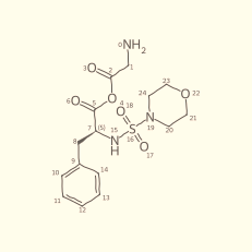 NCC(=O)OC(=O)[C@H](Cc1ccccc1)NS(=O)(=O)N1CCOCC1